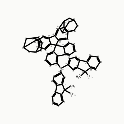 CC1(C)c2ccccc2-c2ccc(N(c3ccc4c(c3)C(C)(C)c3ccccc3-4)c3cccc4c3-c3ccccc3C43c4cc5c(cc4-c4cc6c(cc43)C3CC4CC(CC6C4)C3)C3CC4CC(C3)CC5C4)cc21